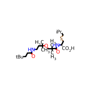 CC(C)CSC[C@@H](NC(=O)C(C)(C)COC(C)(C)CCNC(=O)CCC(C)(C)C)C(=O)O